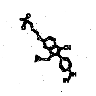 CC(C)Nc1ccc(-c2c(C#N)c3ccc(OCCCS(C)(=O)=O)cc3n2CC2CC2)cc1